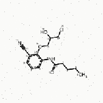 CCCCC(=O)Nc1cccc(C#N)c1OCC(O)CCl